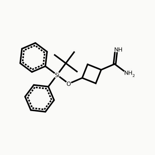 CC(C)(C)[Si](OC1CC(C(=N)N)C1)(c1ccccc1)c1ccccc1